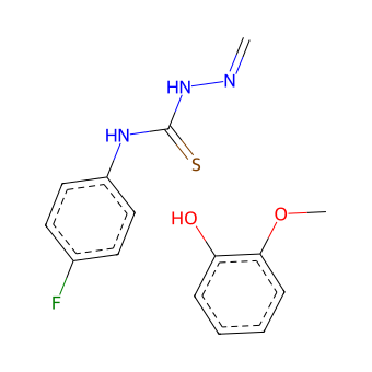 C=NNC(=S)Nc1ccc(F)cc1.COc1ccccc1O